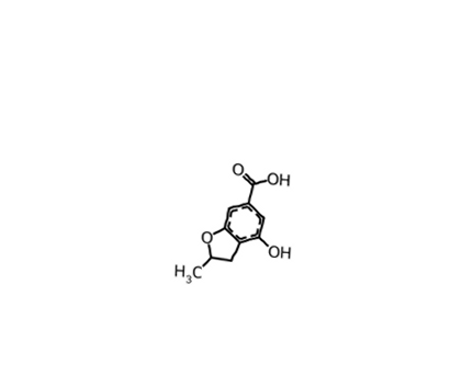 CC1Cc2c(O)cc(C(=O)O)cc2O1